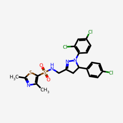 Cc1nc(C)c(S(=O)(=O)NCC2=NN(c3ccc(Cl)cc3Cl)C(c3ccc(Cl)cc3)C2)s1